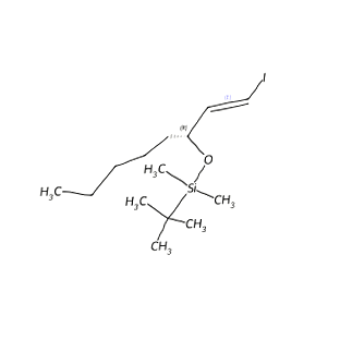 CCCCC[C@H](/C=C/I)O[Si](C)(C)C(C)(C)C